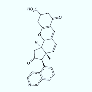 C[C@]12C=CC3=CC4=C(CC(C(=O)O)CC4=O)OC3[C@@H]1CC(=O)[C@@H]2c1cccc2cnccc12